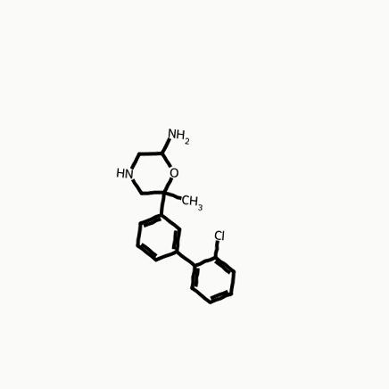 CC1(c2cccc(-c3ccccc3Cl)c2)CNCC(N)O1